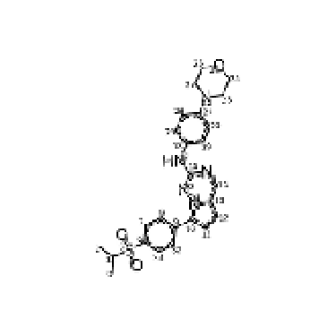 CC(C)S(=O)(=O)c1ccc(-c2ccc3cnc(Nc4ccc(N5CCOCC5)cc4)nn23)cc1